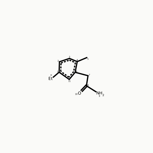 CCc1ccc(C)c(CC(N)=O)c1